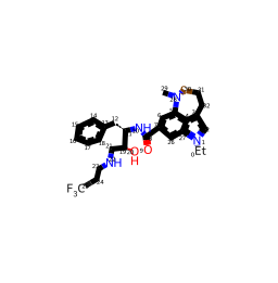 CCn1cc2c3c(cc(C(=O)N[C@@H](Cc4ccccc4)[C@H](O)CNCCC(F)(F)F)cc31)N(C)SCC2